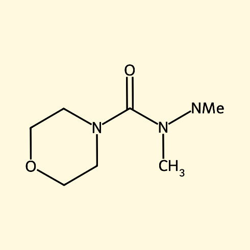 CNN(C)C(=O)N1CCOCC1